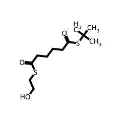 CC(C)(C)SC(=O)CCCCC(=O)SCCO